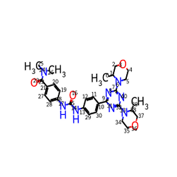 CC1COCCN1c1nc(-c2ccc(NC(=O)Nc3ccc(C(=O)N(C)C)cc3)cc2)nc(N2CCOCC2C)n1